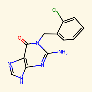 Nc1nc2[nH]cnc2c(=O)n1Cc1ccccc1Cl